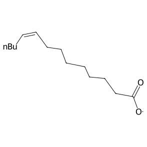 CCCC/C=C\CCCCCCCC([O])=O